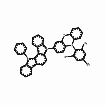 CC(C)c1cc(C(C)C)c(B2c3ccccc3Oc3cc(-n4c5ccccc5c5c4ccc4c6ccccc6n(-c6ccccc6)c45)ccc32)c(C(C)C)c1